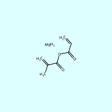 C=CC(=O)OC(=O)C(=C)C.[MgH2]